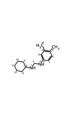 Cc1ccc(NCNC2CCCCC2)cc1C